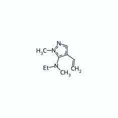 C=Cc1cnn(C)c1N(C)CC